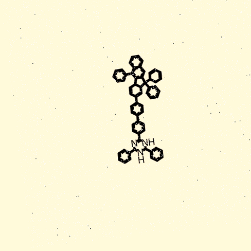 C1=CCC(C2(c3ccccc3)c3cc4ccccc4c(-c4ccccc4)c3C3C=CC(c4ccc(-c5ccc(C6=NC(c7ccccc7)NC(c7ccccc7)N6)cc5)cc4)=CC32)C=C1